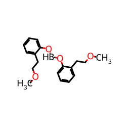 COCCc1ccccc1OBOc1ccccc1CCOC